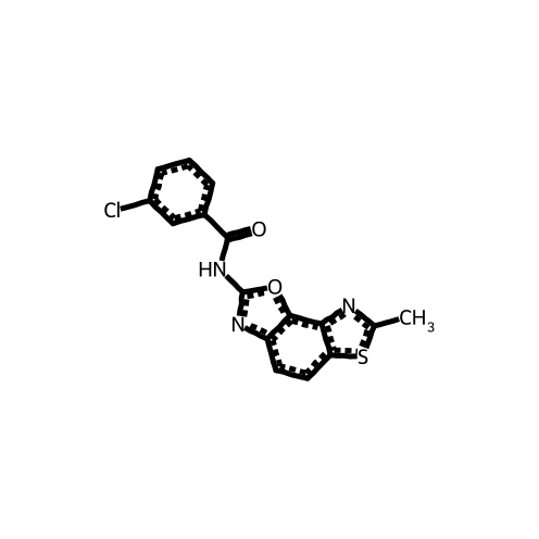 Cc1nc2c(ccc3nc(NC(=O)c4cccc(Cl)c4)oc32)s1